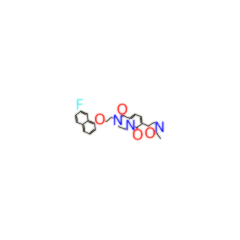 CC1=NCC(c2ccc3n(c2=O)CCN(CCOc2cccc4ccc(F)cc24)C3=O)O1